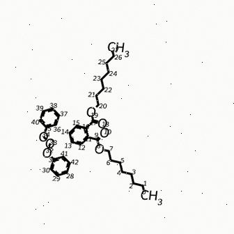 CCCCCCCCOC(=O)c1ccccc1C(=O)OCCCCCCCC.c1ccc(OOOc2ccccc2)cc1